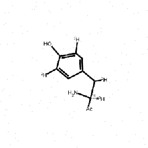 [2H]c1cc(C([2H])[C@]([2H])(N)C(C)=O)cc([2H])c1O